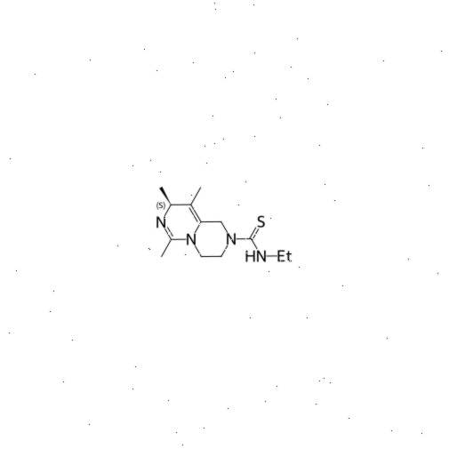 CCNC(=S)N1CCN2C(C)=N[C@@H](C)C(C)=C2C1